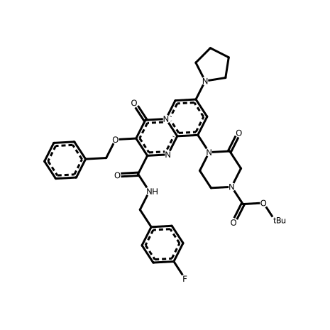 CC(C)(C)OC(=O)N1CCN(c2cc(N3CCCC3)cn3c(=O)c(OCc4ccccc4)c(C(=O)NCc4ccc(F)cc4)nc23)C(=O)C1